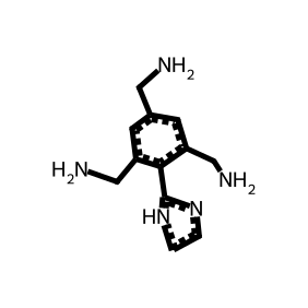 NCc1cc(CN)c(-c2ncc[nH]2)c(CN)c1